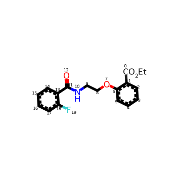 CCOC(=O)c1ccccc1OCCNC(=O)c1ccccc1F